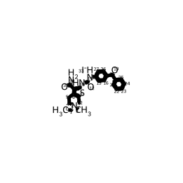 CC[N+]1(C)CCc2c(sc(NC(=O)Nc3ccc(C(=O)c4ccccc4)cc3)c2C(N)=O)C1.[I-]